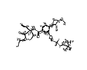 [2H]C([2H])(F)OCC(C)(C)COc1nc(C(=O)NC(CC)(CC)C(=O)OCC)ccc1N1CC(OC)C1